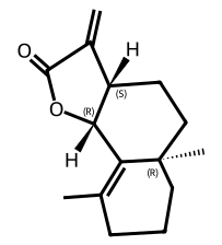 C=C1C(=O)O[C@H]2C3=C(C)CCC[C@]3(C)CC[C@@H]12